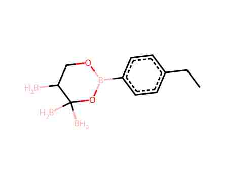 BC1COB(c2ccc(CC)cc2)OC1(B)B